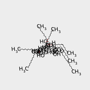 CCCCCC/C=C\CCCCCCCCOC(CCCCCCCCCCC)CC(=O)NC1[C@H](OCC2OC(OP(=O)(O)O)C(NC(=O)CC(CCCCCCCCCCC)OC(=O)CCCCCCCCCCCCCCC)[C@@H](OC(=O)CC(O)CCCCCCCCCCC)[C@@H]2O)OC(CO)C(OP(=O)(O)O)[C@@H]1OC(=O)CC(CCCCCCCCCCC)OC(=O)CCCCCCCCCCCC